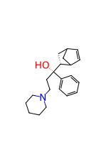 O[C@@](CCN1CCCCC1)(c1ccccc1)[C@@H]1CC2C=CC1C2